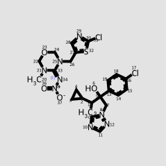 CC(C1CC1)C(O)(Cn1cncn1)c1ccc(Cl)cc1.CN1COCN(Cc2cnc(Cl)s2)/C1=N/[N+](=O)[O-]